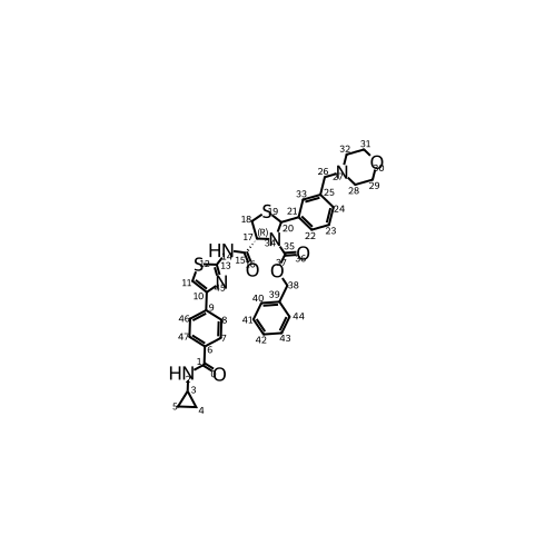 O=C(NC1CC1)c1ccc(-c2csc(NC(=O)[C@@H]3CSC(c4cccc(CN5CCOCC5)c4)N3C(=O)OCc3ccccc3)n2)cc1